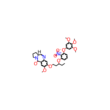 CCC(CCOc1cc2c(cc1OC)C(=O)N1CCC[C@H]1C=N2)Oc1cccc(Oc2cc(OC)c(OC)c(OC)c2)c1[N+](=O)[O-]